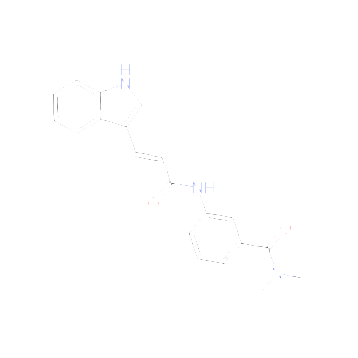 CN(C)C(=O)c1cccc(NC(=O)C=Cc2c[nH]c3ccccc23)c1